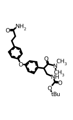 CN(C)C(=O)C(CNC(=O)OC(C)(C)C)c1ccc(Oc2ccc(CCC(N)=O)cc2)cc1